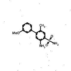 COc1cccc(-c2cc(N)c(S(N)(=O)=O)cc2C)c1